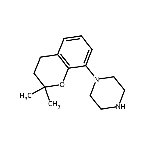 CC1(C)CCc2cccc(N3CCNCC3)c2O1